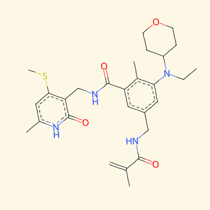 C=C(C)C(=O)NCc1cc(C(=O)NCc2c(SC)cc(C)[nH]c2=O)c(C)c(N(CC)C2CCOCC2)c1